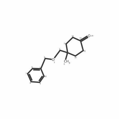 CC1(COCc2ccccc2)CCC(=O)CC1